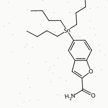 CCC[CH2][Sn]([CH2]CCC)([CH2]CCC)[c]1ccc2oc(C(N)=O)cc2c1